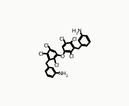 Nc1cccc(Cc2c(Cl)c(Cl)cc(Oc3cc(Cl)c(Cl)c(Cc4cccc(N)c4)c3Cl)c2Cl)c1